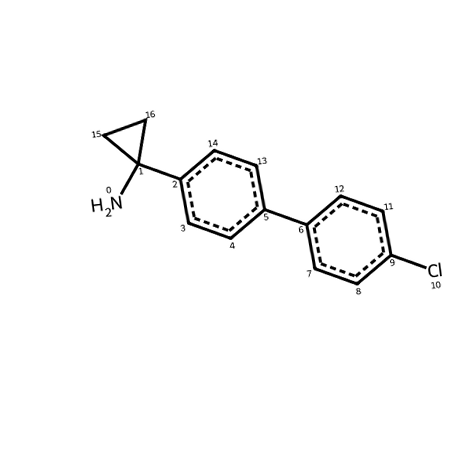 NC1(c2ccc(-c3ccc(Cl)cc3)cc2)CC1